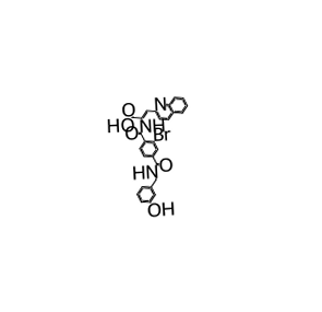 O=C(O)/C(=C/c1ccc2ccccc2n1)NC(=O)c1ccc(C(=O)NCc2cccc(O)c2)cc1Br